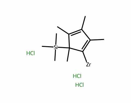 CC1=C(C)C(C)([Si](C)(C)C)[C]([Zr])=C1C.Cl.Cl.Cl